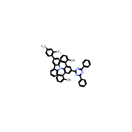 N#Cc1ccccc1-c1cc(-c2nc(-c3ccccc3)nc(-c3ccccc3)n2)cc(-c2ccccc2C#N)c1-n1c2ccccc2c2cc(-c3ccc(C(F)(F)F)cc3C(F)(F)F)ccc21